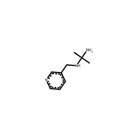 CC(C)(N)NCc1cccnc1